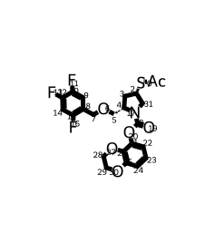 CC(=O)S[C@@H]1C[C@@H](COCc2cc(F)c(F)cc2F)N(C(=O)Oc2cccc3c2OCCO3)C1